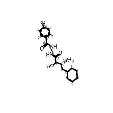 N[C@H](CC1CCCCC1)C(O)C(=O)NNC(=O)c1ccc(Br)cc1